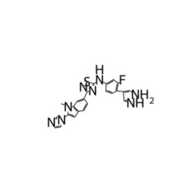 Cn1c(-n2ccnc2)cc2ccc(-c3nsc(Nc4ccc(/C(C=N)=C/N)c(F)c4)n3)cc21